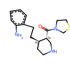 Nc1ccccc1CC[C@@H]1CCNC[C@H]1C(=O)N1CCSC1